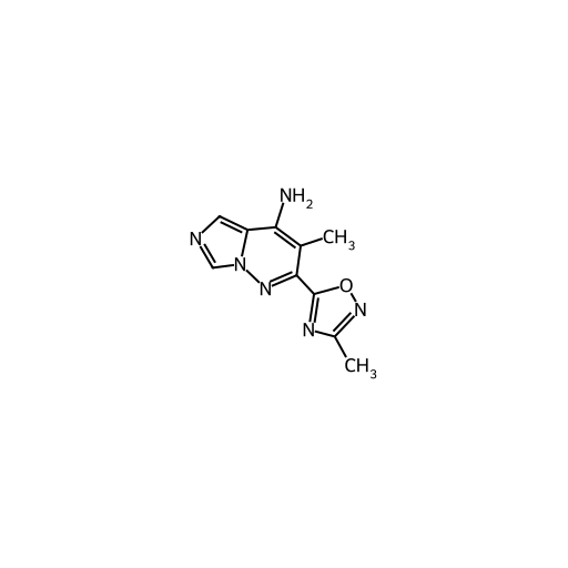 Cc1noc(-c2nn3cncc3c(N)c2C)n1